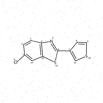 Clc1ccc2nc(-c3ccsc3)sc2c1